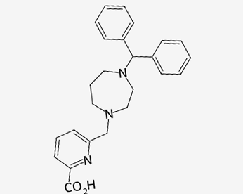 O=C(O)c1cccc(CN2CCCN(C(c3ccccc3)c3ccccc3)CC2)n1